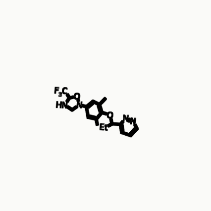 CCC(Oc1c(C)cc(N2CNC(C(F)(F)F)O2)cc1C)c1cccnn1